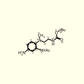 CC(=O)Nc1cc(N)ccc1N(C)CCNC(=O)OC(C)(C)C